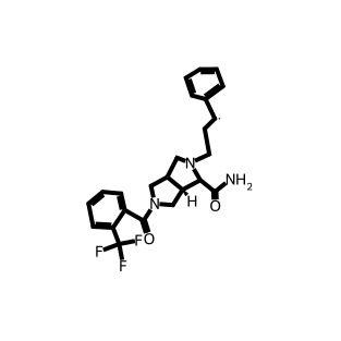 NC(=O)C1[C@@H]2CN(C(=O)c3ccccc3C(F)(F)F)CC2CN1CC[CH]c1ccccc1